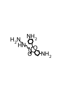 NCCNCCN(C(=O)c1ccc(N)cc1)C(=O)c1ccc(N)cc1